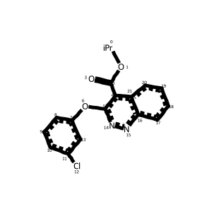 CC(C)OC(=O)c1c(Oc2cccc(Cl)c2)nnc2ccccc12